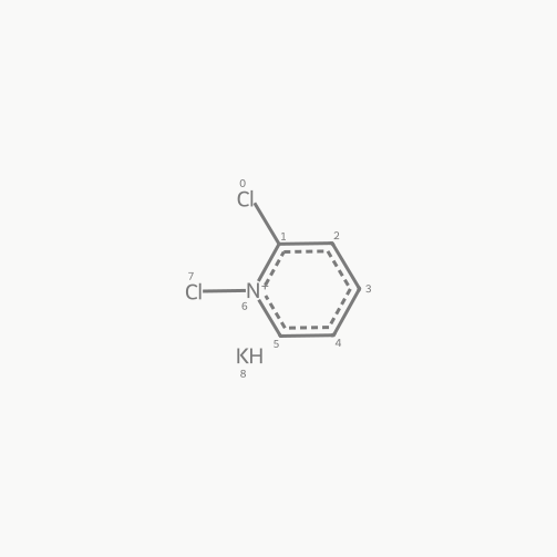 Clc1cccc[n+]1Cl.[KH]